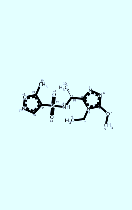 CCn1c(OC)nnc1[C@@H](C)NS(=O)(=O)c1cnoc1C